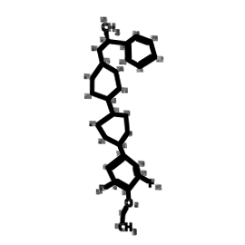 CCOc1c(F)cc(C2CCC(C3CCC(C[C@@H](C)c4ccccc4)CC3)CC2)cc1F